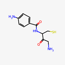 NCC(=O)C(CS)NC(=O)c1ccc(N)cc1